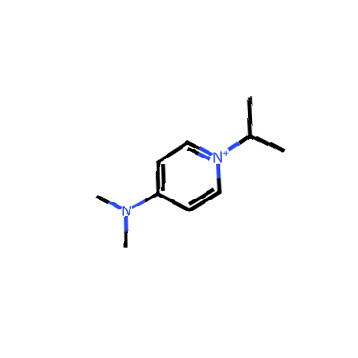 CC(C)[n+]1ccc(N(C)C)cc1